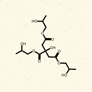 CC(O)COC(=O)CC(O)(CC(=O)OCC(C)O)C(=O)OCC(C)O